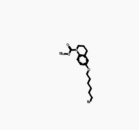 CC(C)(C)OC(=O)N1CCCc2cc(OCCCCCCBr)ccc21